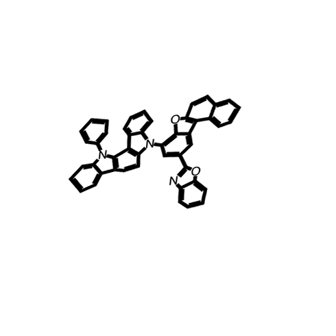 c1ccc(-n2c3ccccc3c3ccc4c(c5ccccc5n4-c4cc(-c5nc6ccccc6o5)cc5c4oc4ccc6ccccc6c45)c32)cc1